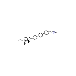 C/C=C/CCC1CCC(C2CCC(C3CCC(CCc4ccc(CCC)c(F)c4F)CC3)CC2)CC1